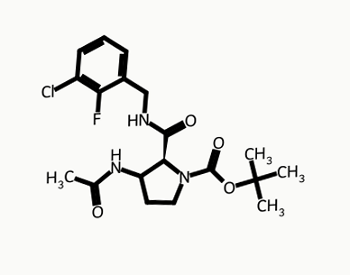 CC(=O)NC1CCN(C(=O)OC(C)(C)C)[C@@H]1C(=O)NCc1cccc(Cl)c1F